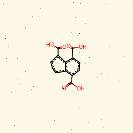 O=C(O)c1ccc(C(=O)O)c2c(C(=O)O)cccc12